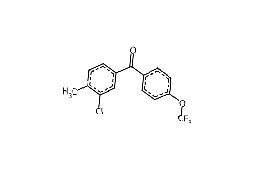 Cc1ccc(C(=O)c2ccc(OC(F)(F)F)cc2)cc1Cl